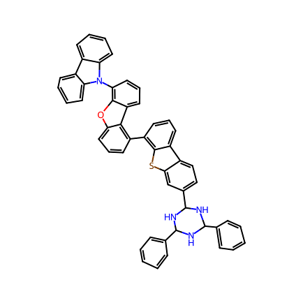 c1ccc(C2NC(c3ccccc3)NC(c3ccc4c(c3)sc3c(-c5cccc6oc7c(-n8c9ccccc9c9ccccc98)cccc7c56)cccc34)N2)cc1